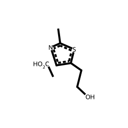 CC(=O)O.Cc1ncc(CCO)s1